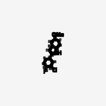 COc1ccc2[nH]c(-c3ccc(F)c(Cl)c3)cc2c1